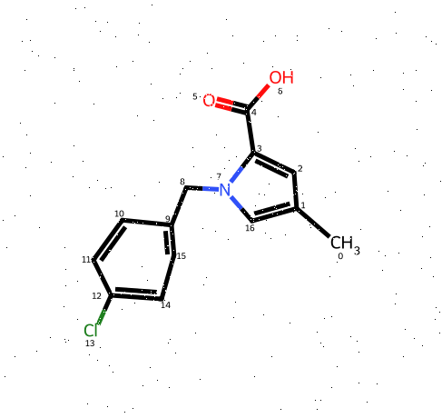 Cc1cc(C(=O)O)n(Cc2ccc(Cl)cc2)c1